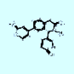 C#C/C=C\C(=C/CC)CN(C)C(=C)Cc1ccc(C(/C=C\C)=C/C=C)cc1